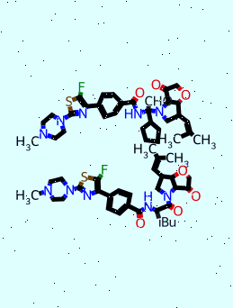 CC(C)=CC1CN(C(C=O)(NC(=O)c2ccc(-c3nc(N4CCN(C)CC4)sc3F)cc2)C2CCCC2)C2C(=O)COC12.CCC(C)C(NC(=O)c1ccc(-c2nc(N3CCN(C)CC3)sc2F)cc1)C(=O)N1CC(C=C(C)C)C2OCC(=O)C21